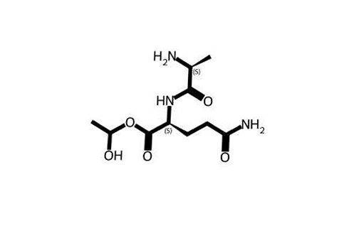 CC(O)OC(=O)[C@H](CCC(N)=O)NC(=O)[C@H](C)N